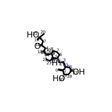 C=C1/C(=C\C=C2/CCC[C@]3(C)[C@@H]([C@H](C)CC(=O)CC(C)(C)O)CC[C@@H]23)C[C@@H](O)CC1O